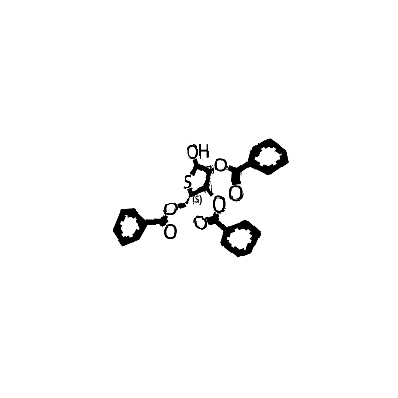 O=C(OC[C@@H]1SC(O)[C@H](OC(=O)c2ccccc2)[C@H]1OC(=O)c1ccccc1)c1ccccc1